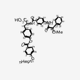 CCCCCCCOc1ccc(C(=O)Oc2ccc(C[C@H](NC(=O)c3ccc(NC(=O)[C@@H](OC)c4ccccc4)cc3)C(=O)O)cc2)cc1